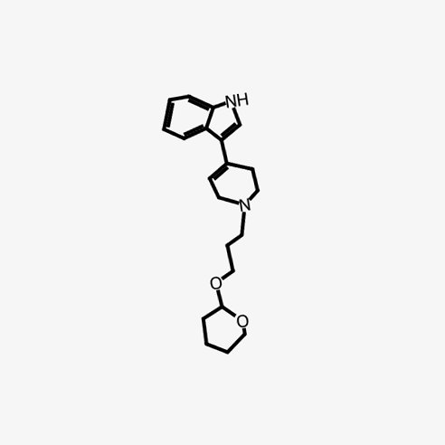 C1=C(c2c[nH]c3ccccc23)CCN(CCCOC2CCCCO2)C1